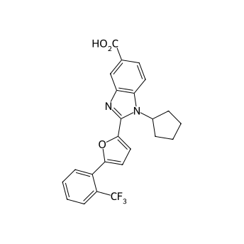 O=C(O)c1ccc2c(c1)nc(-c1ccc(-c3ccccc3C(F)(F)F)o1)n2C1CCCC1